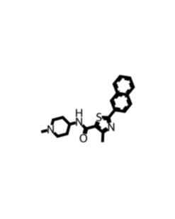 Cc1nc(-c2ccc3ccccc3c2)sc1C(=O)NC1CCN(C)CC1